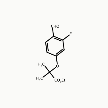 CCOC(=O)C(C)(C)Oc1ccc(C=O)c(F)c1